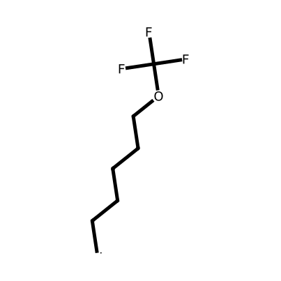 [CH2]CCCCCOC(F)(F)F